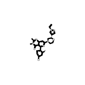 C=Cn1cc([C@H]2CN(c3cc4nc(C)n(C)c(=O)c4c(-c4ccc(Cl)cc4F)n3)CCO2)cn1